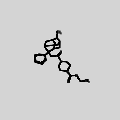 CCOC(=O)N1CCN(C(=O)CC2(c3ccccc3)C3CC4CC2CC(C3)C4C)CC1